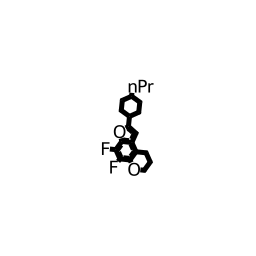 CCCC1CCC(c2cc3c4c(c(F)c(F)c3o2)OCCC4)CC1